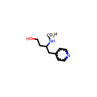 O=C(O)NC(CCO)Cc1ccncc1